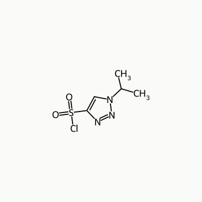 CC(C)n1cc(S(=O)(=O)Cl)nn1